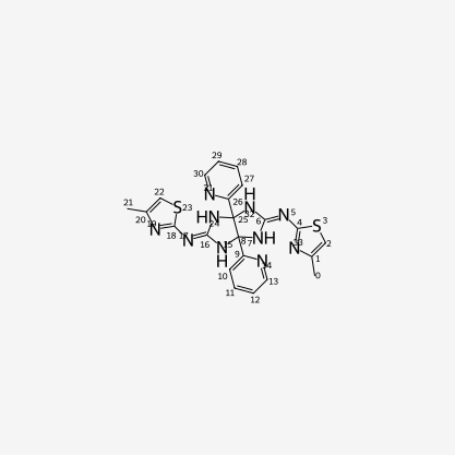 Cc1csc(N=C2NC3(c4ccccn4)NC(=Nc4nc(C)cs4)NC3(c3ccccn3)N2)n1